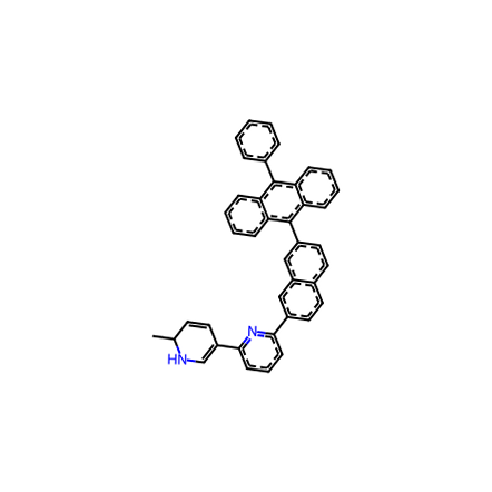 CC1C=CC(c2cccc(-c3ccc4ccc(-c5c6ccccc6c(-c6ccccc6)c6ccccc56)cc4c3)n2)=CN1